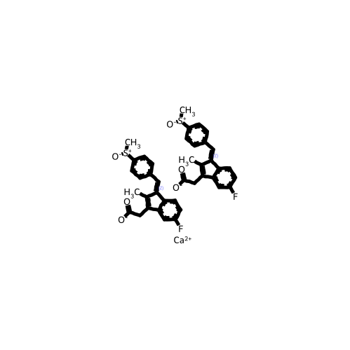 CC1=C(CC(=O)[O-])c2cc(F)ccc2/C1=C/c1ccc([S+](C)[O-])cc1.CC1=C(CC(=O)[O-])c2cc(F)ccc2/C1=C/c1ccc([S+](C)[O-])cc1.[Ca+2]